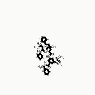 CC(C)[C@H](NC(=O)C(O)(CCC(=O)Nc1cc(C(=O)N[C@H](C)c2ccccc2)cc(N(C)S(C)(=O)=O)c1)CCc1ccccc1)C(=O)Nc1ccccc1